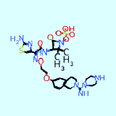 CC1(C)C(NC(=O)/C(=N\OCCOc2ccc3c(c2)CCN(C(=N)N2CCNCC2)C3)c2csc(N)n2)C(=O)N1OS(=O)(=O)O